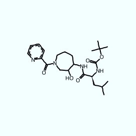 CC(C)C[C@H](NC(=O)OC(C)(C)C)C(=O)NC1CCCN(C(=O)c2ccccn2)CC1O